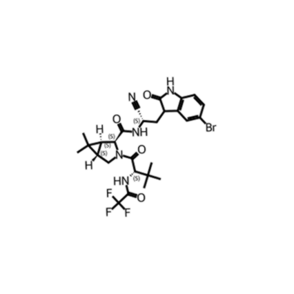 CC(C)(C)[C@H](NC(=O)C(F)(F)F)C(=O)N1C[C@H]2[C@H]([C@H]1C(=O)N[C@H](C#N)CC1C(=O)Nc3ccc(Br)cc31)C2(C)C